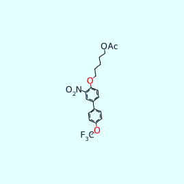 CC(=O)OCCCCCOc1ccc(-c2ccc(OC(F)(F)F)cc2)cc1[N+](=O)[O-]